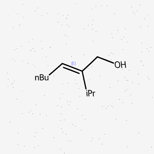 CCCC/C=C(/CO)C(C)C